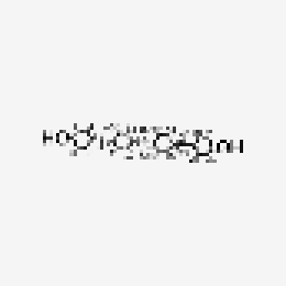 CC(C)(c1ccc(O)cc1)c1ccc(C(C)(C)c2ccc(C(C)(C)c3ccc(O)cc3)cc2)cc1